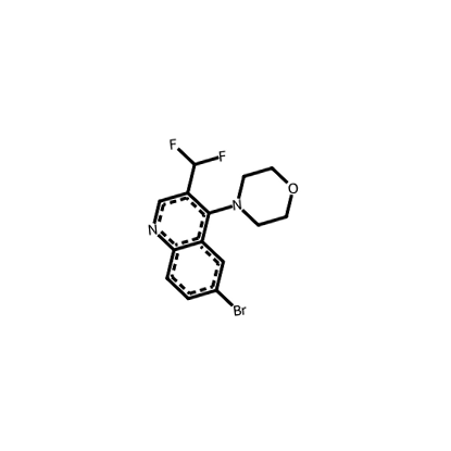 FC(F)c1cnc2ccc(Br)cc2c1N1CCOCC1